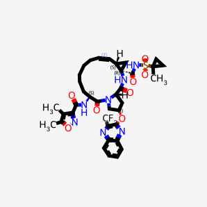 Cc1onc(C(=O)N[C@H]2CCCCC/C=C\[C@@H]3C[C@@]3(C(=O)NS(=O)(=O)C3(C)CC3)NC(=O)[C@@H]3C[C@@H](Oc4nc5ccccc5nc4C(F)(F)F)CN3C2=O)c1C